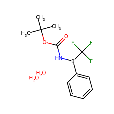 CC(C)(C)OC(=O)NB(c1ccccc1)C(F)(F)F.O.O